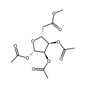 COC(=O)C[C@H]1O[C@@H](OC(C)=O)[C@H](OC(C)=O)[C@@H]1OC(C)=O